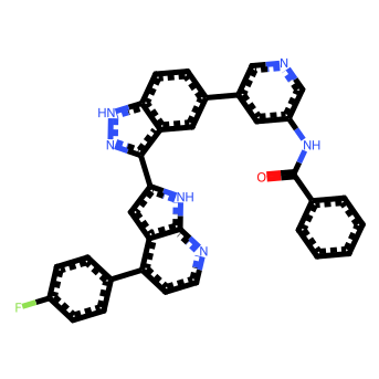 O=C(Nc1cncc(-c2ccc3[nH]nc(-c4cc5c(-c6ccc(F)cc6)ccnc5[nH]4)c3c2)c1)c1ccccc1